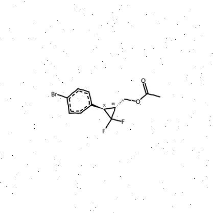 CC(=O)OC[C@H]1[C@H](c2ccc(Br)cc2)C1(F)F